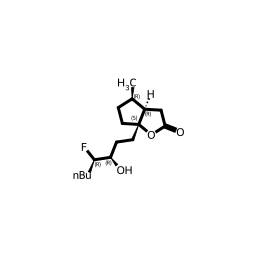 CCCC[C@@H](F)[C@H](O)CC[C@@]12CC[C@@H](C)[C@H]1CC(=O)O2